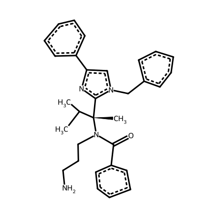 CC(C)[C@](C)(c1nc(-c2ccccc2)cn1Cc1ccccc1)N(CCCN)C(=O)c1ccccc1